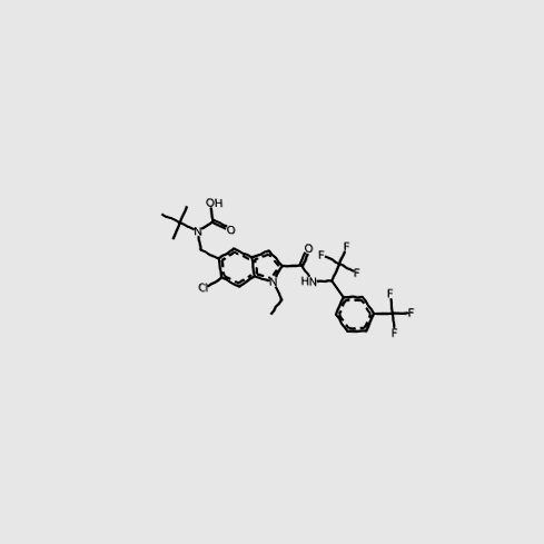 CCn1c(C(=O)NC(c2cccc(C(F)(F)F)c2)C(F)(F)F)cc2cc(CN(C(=O)O)C(C)(C)C)c(Cl)cc21